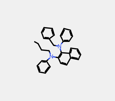 CCCCN(c1ccccc1)c1ccc2ccccc2c1N(Cc1ccccc1)c1ccccc1